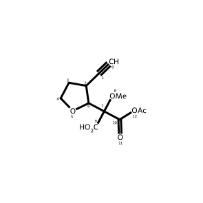 C#CC1CCOC1C(OC)(C(=O)O)C(=O)OC(C)=O